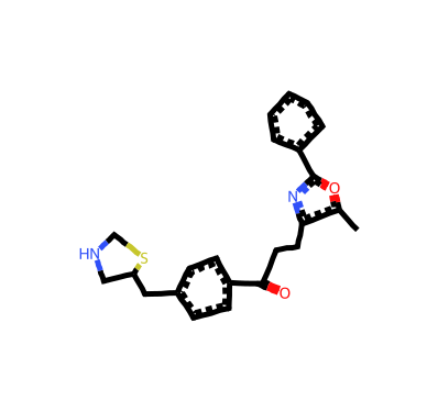 Cc1oc(-c2ccccc2)nc1CCC(=O)c1ccc(CC2CNCS2)cc1